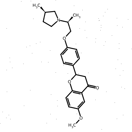 COc1ccc2c(c1)C(=O)CC(c1ccc(OC[C@H](C)N3CC[C@@H](C)C3)cc1)O2